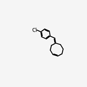 Clc1ccc(/C=C2\CC/C=C\CCC2)cc1